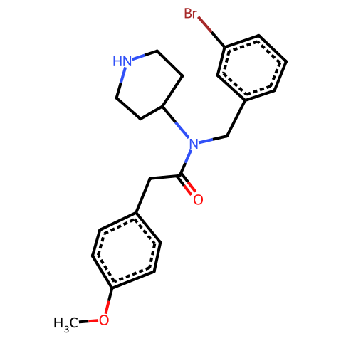 COc1ccc(CC(=O)N(Cc2cccc(Br)c2)C2CCNCC2)cc1